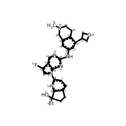 CC[C@]1(O)CCc2ccc(-n3cc(F)c4cnc(Nc5cc6c(c(C7COC7)c5)CCN(C)C6)nc43)nc21